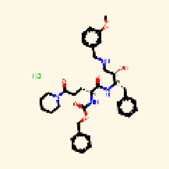 COc1cccc(CNC[C@H](O)[C@H](Cc2ccccc2)NC(=O)[C@@H](CCC(=O)N2CCCCC2)NC(=O)OCc2ccccc2)c1.Cl